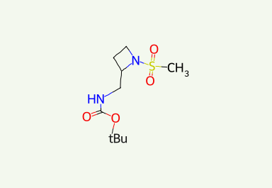 CC(C)(C)OC(=O)NCC1CCN1S(C)(=O)=O